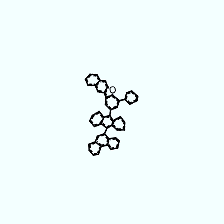 c1ccc(-c2cc(-c3c4ccccc4c(-c4cc5ccccc5c5ccccc45)c4ccccc34)cc3c2oc2cc4ccccc4cc23)cc1